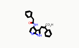 O=C(Cc1ccccc1)Nc1ccnc2[nH]cc(C=C(C(=O)O)c3ccccc3)c12